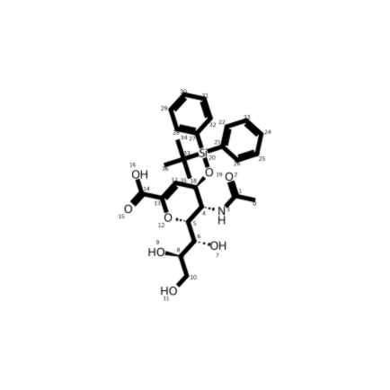 CC(=O)N[C@@H]1[C@H]([C@H](O)[C@H](O)CO)OC(C(=O)O)=C[C@H]1O[Si](c1ccccc1)(c1ccccc1)C(C)(C)C